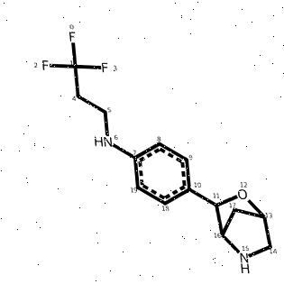 FC(F)(F)CCNc1ccc(C2OC3CNC2C3)cc1